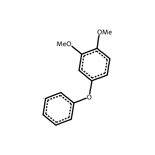 COc1ccc(Oc2c[c]ccc2)cc1OC